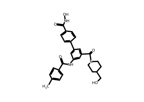 Cc1ccc(C(=O)Nc2cc(C(=O)N3CCC(CO)CC3)cc(-c3ccc(C(=O)NO)cc3)c2)cc1